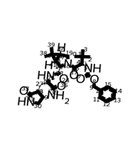 CC(C)(C)[C@H](NC(=O)OCc1ccccc1)C(=O)N1C[C@H]2[C@@H]([C@H]1C(=O)N[C@@H](C[C@@H]1CCNC1=O)C(N)=O)C2(C)C